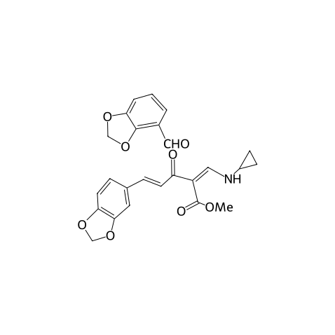 COC(=O)C(=CNC1CC1)C(=O)C=Cc1ccc2c(c1)OCO2.O=Cc1cccc2c1OCO2